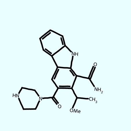 COC(C)c1c(C(=O)N2CCNCC2)cc2c([nH]c3ccccc32)c1C(N)=O